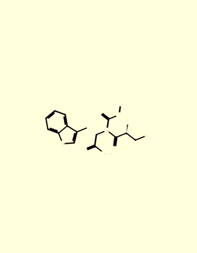 CCCCOC(=O)N(C(=O)[C@@H](N)CC(C)C)[C@@H](Cc1c[nH]c2ccccc12)C(=O)NC